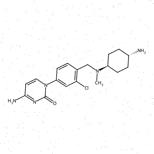 CN(Cc1ccc(-n2ccc(N)nc2=O)cc1Cl)[C@H]1CC[C@H](N)CC1